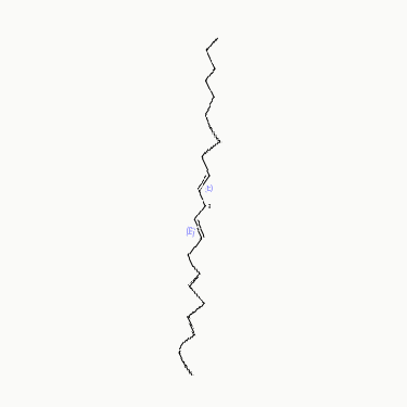 CCCCCCCC/C=C/[C]/C=C/CCCCCCCC